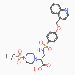 CS(=O)(=O)N1CCN([C@@H](CNS(=O)(=O)c2ccc(OCc3ccnc4ccccc34)cc2)C(=O)O)CC1